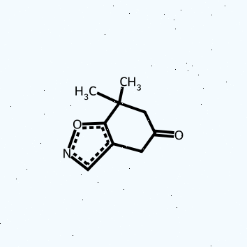 CC1(C)CC(=O)Cc2cnoc21